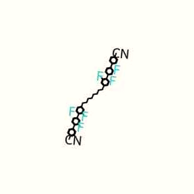 N#Cc1ccc(-c2ccc(-c3c(F)cc(CCCCCCCCc4cc(F)c(-c5ccc(-c6ccc(C#N)cc6)c(F)c5)c(F)c4)cc3F)cc2F)cc1